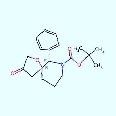 CC(C)(C)OC(=O)N1CCC[C@@]2(CC(=O)CO2)[C@@H]1c1ccccc1